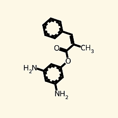 CC(=Cc1ccccc1)C(=O)Oc1cc(N)cc(N)c1